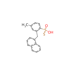 Cc1ccc(S(=O)(O)=S)c(Cc2cccc3ccccc23)c1